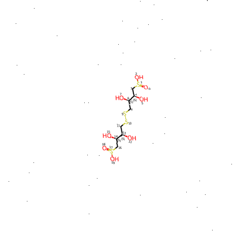 O=S(O)C[C@@H](O)[C@H](O)CSSC[C@@H](O)[C@H](O)CS(=O)O